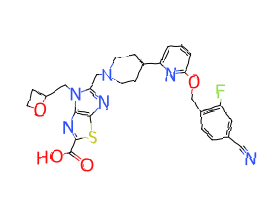 N#Cc1ccc(COc2cccc(C3CCN(Cc4nc5sc(C(=O)O)nc5n4CC4CCO4)CC3)n2)c(F)c1